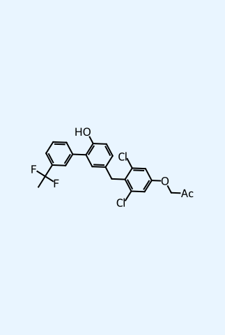 CC(=O)COc1cc(Cl)c(Cc2ccc(O)c(-c3cccc(C(C)(F)F)c3)c2)c(Cl)c1